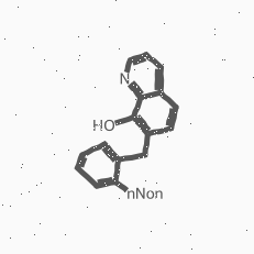 CCCCCCCCCc1ccccc1Cc1ccc2cccnc2c1O